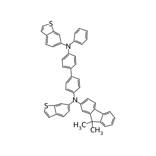 CC1(C)c2ccccc2-c2ccc(N(c3ccc(-c4ccc(N(c5ccccc5)c5ccc6ccsc6c5)cc4)cc3)c3ccc4ccsc4c3)cc21